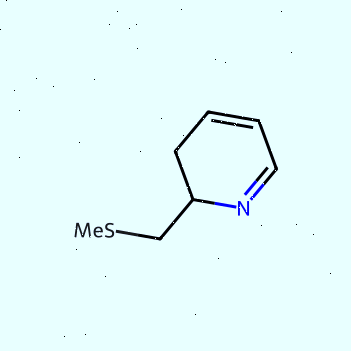 CSCC1CC=CC=N1